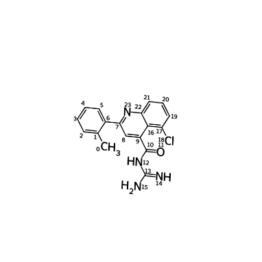 Cc1ccccc1-c1cc(C(=O)NC(=N)N)c2c(Cl)cccc2n1